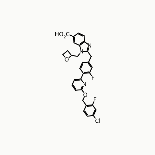 O=C(O)c1ccc2nc(Cc3ccc(-c4cccc(OCc5ccc(Cl)cc5F)n4)c(F)c3)n(CC3CCO3)c2c1